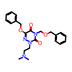 CN(C)CCn1nc(OCc2ccccc2)c(=O)n(COCc2ccccc2)c1=O